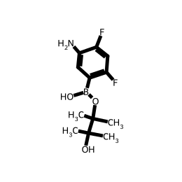 CC(C)(O)C(C)(C)OB(O)c1cc(N)c(F)cc1F